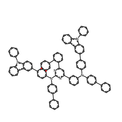 c1ccc(-c2ccc(N(c3ccc(-c4ccc5c(c4)c4ccccc4n5-c4ccccc4)cc3)c3cccc(-c4cc(-c5ccccc5-c5ccccc5)nc(N(c5ccc(-c6ccccc6)cc5)c5ccc(-c6ccc7c(c6)c6ccccc6n7-c6ccccc6)cc5)n4)c3)cc2)cc1